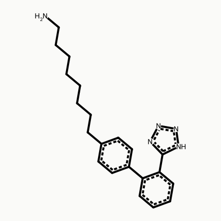 NCCCCCCCCc1ccc(-c2ccccc2-c2nnn[nH]2)cc1